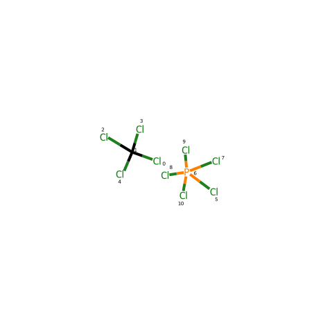 ClC(Cl)(Cl)Cl.ClP(Cl)(Cl)(Cl)Cl